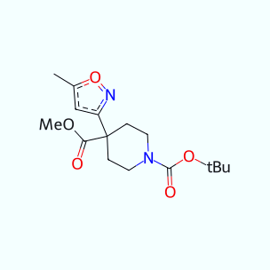 COC(=O)C1(c2cc(C)on2)CCN(C(=O)OC(C)(C)C)CC1